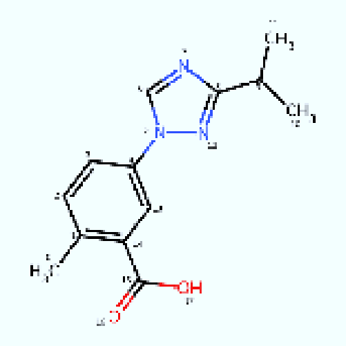 Cc1ccc(-n2cnc(C(C)C)n2)cc1C(=O)O